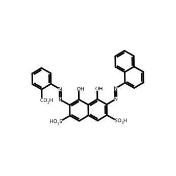 O=C(O)c1ccccc1N=Nc1c(S(=O)(=O)O)cc2cc(S(=O)(=O)O)c(N=Nc3cccc4ccccc34)c(O)c2c1O